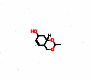 CC1OCC2C=CC(O)C[C@@H]2O1